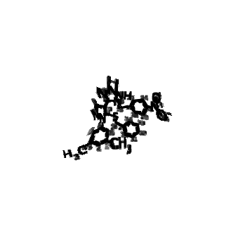 Cc1cc(C)cc(-n2ncc(C3=NNNN3Cc3ccc([N+](=O)[O-])cc3)c2SCc2ccccc2)c1